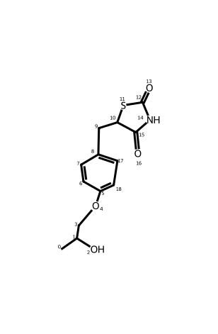 CC(O)COc1ccc(CC2SC(=O)NC2=O)cc1